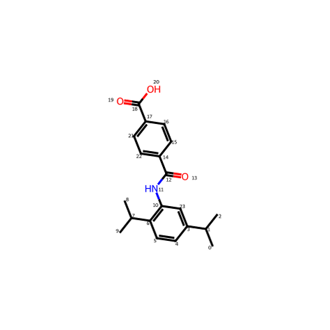 CC(C)c1ccc(C(C)C)c(NC(=O)c2ccc(C(=O)O)cc2)c1